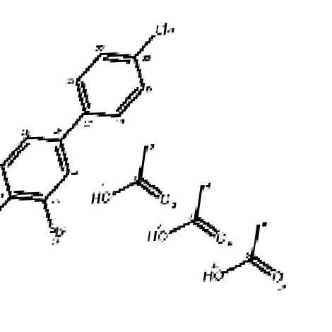 CC(=O)O.CC(=O)O.CC(=O)O.Cc1ccc(-c2ccc(Cl)cc2)c[c]1[Pb]